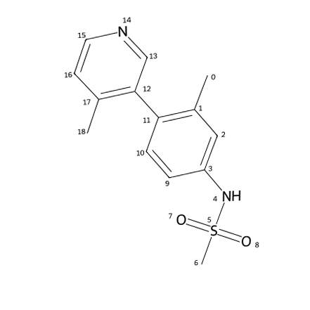 Cc1cc(NS(C)(=O)=O)ccc1-c1cnccc1C